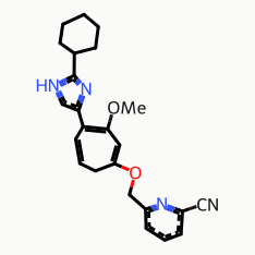 COC1=C(c2c[nH]c(C3CCCCC3)n2)C=CCC(OCc2cccc(C#N)n2)=C1